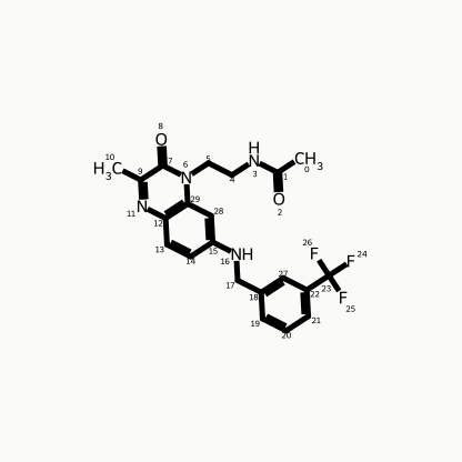 CC(=O)NCCn1c(=O)c(C)nc2ccc(NCc3cccc(C(F)(F)F)c3)cc21